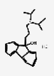 CC(C)N(CCCC1(O)c2ccccc2-c2ccccc21)C(C)C.Cl